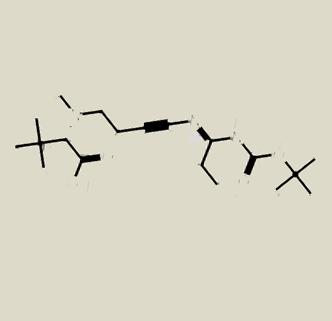 CC/C(=N\C#CCCN(C)[C@H](C(=O)O)C(C)(C)C)NC(=O)OC(C)(C)C